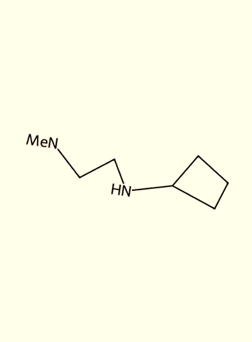 CNCCNC1CCC1